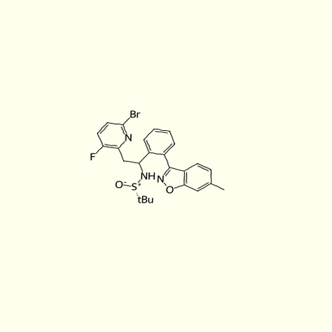 Cc1ccc2c(-c3ccccc3C(Cc3nc(Br)ccc3F)N[S@@+]([O-])C(C)(C)C)noc2c1